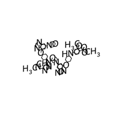 COC(=O)c1ccc(N[C@H]2CC[C@@H](Oc3cc(N4CCOC(N(c5cc(CN(C)C)ncn5)[C@H]5CC[C@@H](Oc6cc(N7CCOCC7)cc7nccnc67)CC5)C4)cc4nccnc34)CC2)cc1OC